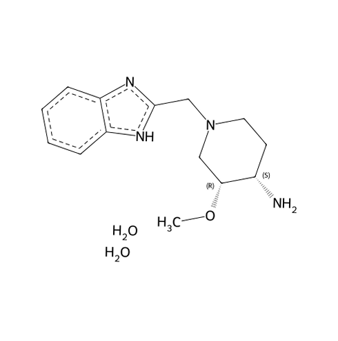 CO[C@@H]1CN(Cc2nc3ccccc3[nH]2)CC[C@@H]1N.O.O